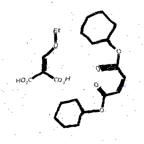 CCOC=C(C(=O)O)C(=O)O.O=C(/C=C\C(=O)OC1CCCCC1)OC1CCCCC1